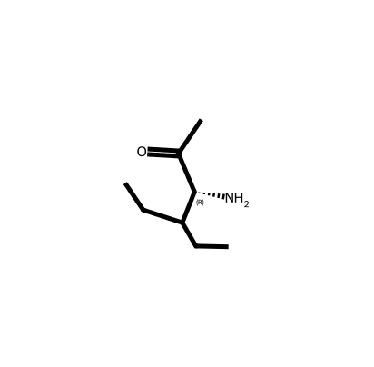 CCC(CC)[C@@H](N)C(C)=O